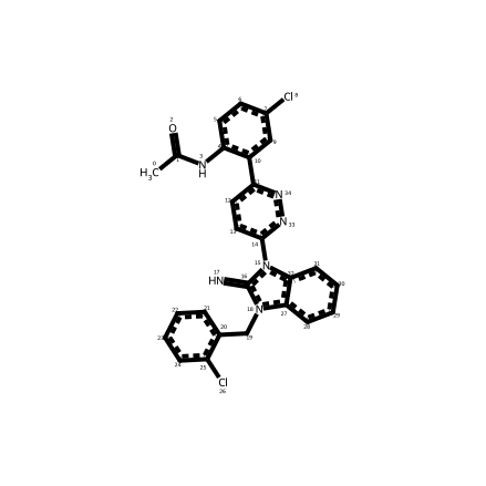 CC(=O)Nc1ccc(Cl)cc1-c1ccc(-n2c(=N)n(Cc3ccccc3Cl)c3ccccc32)nn1